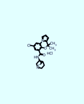 CC1(C)Oc2c(C(=O)NC3CN4CCC3CC4)cc(Cl)cc2-n2cccc21.Cl